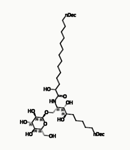 CCCCCCCCCCCCCCCCCCCCCCC(O)C(=O)N[C@@H](CO[C@H]1O[C@H](CO)[C@@H](O)[C@H](O)[C@H]1O)[C@H](O)[C@H](O)CCCCCCCCCCCCCCC